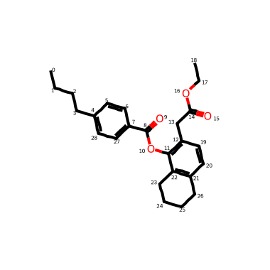 CCCCc1ccc(C(=O)Oc2c(CC(=O)OCC)ccc3c2CCCC3)cc1